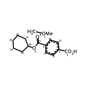 COC.O=C(O)c1ccc(C(=O)OC2CCCCC2)cc1